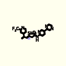 C=C(/C=C(/CC(=O)Nc1ccc(-c2cnccn2)cn1)SC)c1ccnc(C(F)(F)F)c1